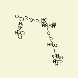 CC1(CC[C@H](NC(=O)CCOCCOCCNC(=O)CCCC[C@@H]2SC[C@@H]3NC(=O)N[C@@H]32)C(=O)NCCOCCOCCOc2cc(Cl)cc(N3CCN(c4cnnc5c(Cl)cccc45)CC3)c2)N=N1